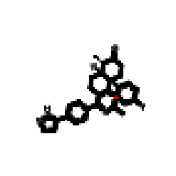 Cc1nc(-c2ccc(-c3ccn[nH]3)cc2)c2c(n1)[C@@]1(c3ccc(F)cc3)CCC(=O)[C@@H](C)[C@@H]1CC2